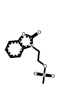 CS(=O)(=O)OCCn1c(=O)oc2ccccc21